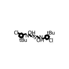 CC(C)(C)c1cc(Cl)cc(C=NC(O)CSSCC(O)N=Cc2cc(Cl)cc(C(C)(C)C)c2)c1